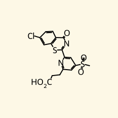 CS(=O)(=O)c1cc(CCC(=O)O)nc(-c2nc(=O)c3ccc(Cl)cc3s2)c1